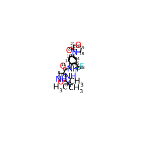 CC(C)(C)C(=O)N[C@@H](CN)C(=O)Nc1ccc(N2CCOCC2=O)cc1C(F)F